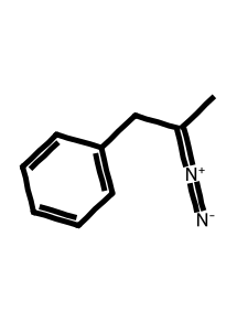 CC(Cc1ccccc1)=[N+]=[N-]